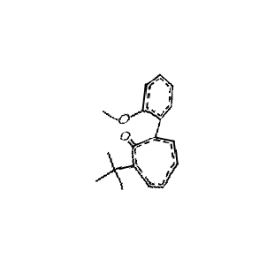 COc1ccccc1-c1ccccc(C(C)(C)C)c1=O